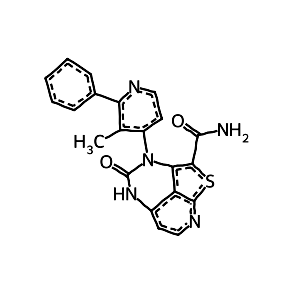 Cc1c(N2C(=O)Nc3ccnc4sc(C(N)=O)c2c34)ccnc1-c1ccccc1